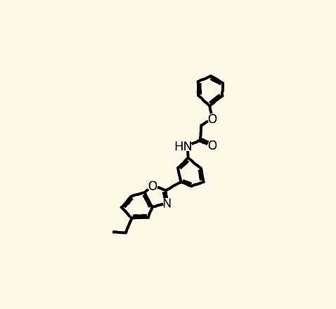 CCc1ccc2oc(-c3cccc(NC(=O)COc4ccccc4)c3)nc2c1